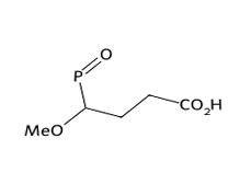 COC(CCC(=O)O)P=O